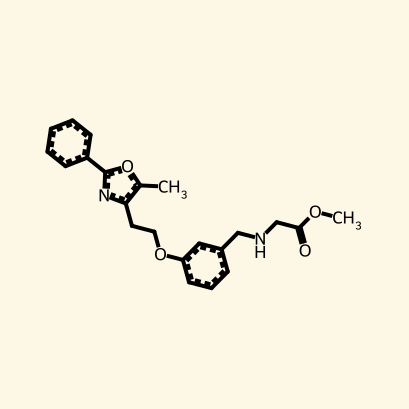 COC(=O)CNCc1cccc(OCCc2nc(-c3ccccc3)oc2C)c1